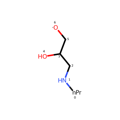 CCCNCC(O)C[O]